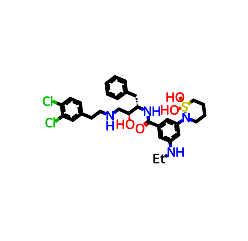 CCNc1cc(C(=O)N[C@@H](Cc2ccccc2)[C@H](O)CNCCc2ccc(Cl)c(Cl)c2)cc(N2CCCCS2(O)O)c1